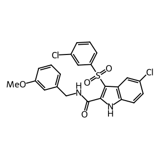 COc1cccc(CNC(=O)c2[nH]c3ccc(Cl)cc3c2S(=O)(=O)c2cccc(Cl)c2)c1